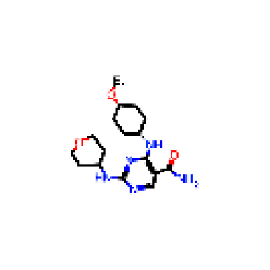 CCO[C@H]1CC[C@H](Nc2nc(NC3CCOCC3)ncc2C(N)=O)CC1